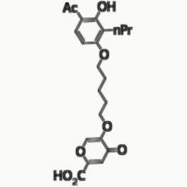 CCCc1c(OCCCCCOc2coc(C(=O)O)cc2=O)ccc(C(C)=O)c1O